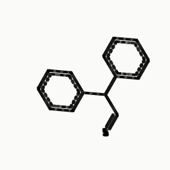 S=CC(c1ccccc1)c1ccccc1